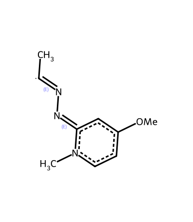 C/[C]=N/N=c1\cc(OC)ccn1C